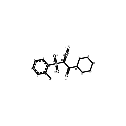 Cc1ccccc1S(=O)(=O)C(=[N+]=[N-])C(=O)C1CCCCC1